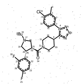 Cc1cc(-n2nnnc2C2CCN(C(=O)[C@@H]3CN(C(C)(C)C)C[C@H]3c3ccc(F)cc3F)CC2)ccc1Cl